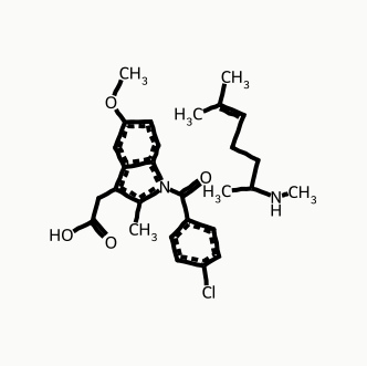 CNC(C)CCC=C(C)C.COc1ccc2c(c1)c(CC(=O)O)c(C)n2C(=O)c1ccc(Cl)cc1